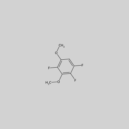 COc1cc(F)c(F)c(OC)c1F